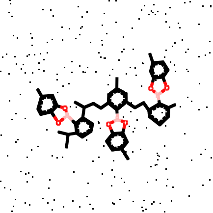 Cc1cc(CCc2cccc(C)c2B2Oc3ccc(C)cc3O2)c(B2Oc3ccc(C)cc3O2)c(CCC(C)c2cccc(C(C)C)c2B2Oc3ccc(C)cc3O2)c1